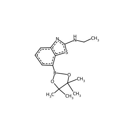 CCNc1nc2cccc(B3OC(C)(C)C(C)(C)O3)c2s1